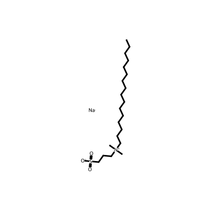 CCCCCCCCCCCCCCCC[N+](C)(C)CCCS(=O)(=O)[O-].[Na]